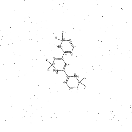 CC1(C)C=CN=C(C2=NC(C3=NC=CC(C)(I)N3)=CC(C)(C)N2)N1